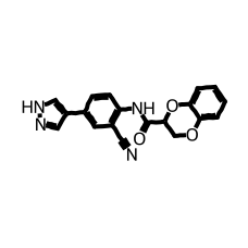 N#Cc1cc(-c2cn[nH]c2)ccc1NC(=O)C1COc2ccccc2O1